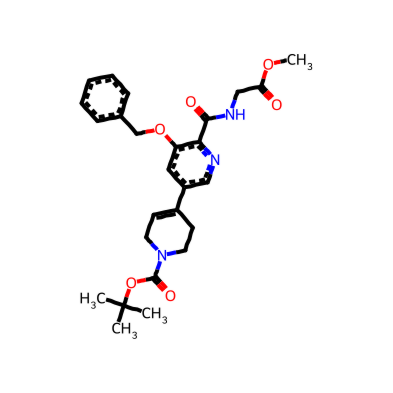 COC(=O)CNC(=O)c1ncc(C2=CCN(C(=O)OC(C)(C)C)CC2)cc1OCc1ccccc1